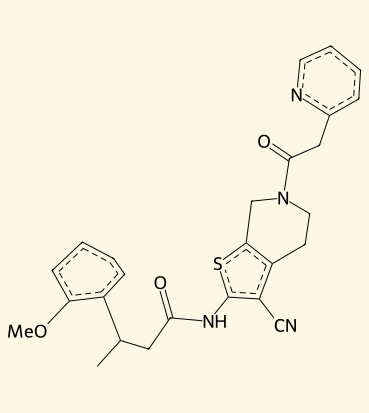 COc1ccccc1C(C)CC(=O)Nc1sc2c(c1C#N)CCN(C(=O)Cc1ccccn1)C2